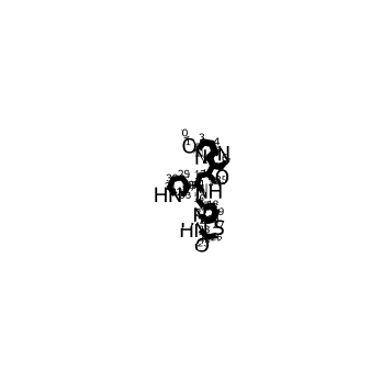 COc1ccc2ncc3c(c2n1)C(CC(NCc1ccc2c(n1)NC(=O)CS2)[C@H]1CCCNC1)CO3